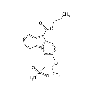 CCCOC(=O)c1c2ccccc2n2cc(OC(C)CS(N)(=O)=O)ccc12